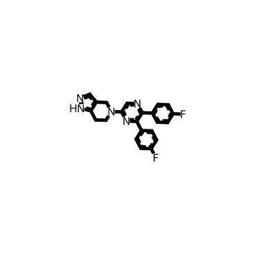 Fc1ccc(-c2ncc(N3CCc4[nH]ncc4C3)nc2-c2ccc(F)cc2)cc1